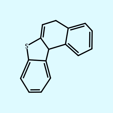 C1=C2Sc3ccccc3C2c2ccccc2C1